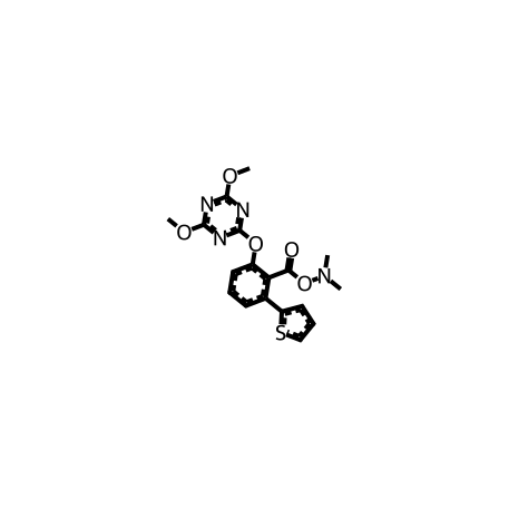 COc1nc(OC)nc(Oc2cccc(-c3cccs3)c2C(=O)ON(C)C)n1